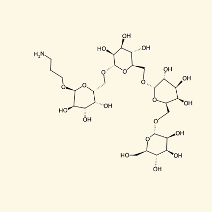 NCCCO[C@H]1O[C@H](CO[C@H]2O[C@H](CO[C@H]3O[C@H](CO[C@H]4O[C@H](CO)[C@@H](O)[C@H](O)[C@@H]4O)[C@H](O)[C@H](O)[C@H]3O)[C@@H](O)[C@H](O)[C@@H]2O)[C@H](O)[C@H](O)[C@H]1O